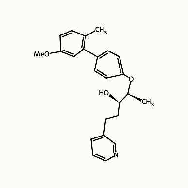 COc1ccc(C)c(-c2ccc(O[C@@H](C)[C@H](O)CCc3cccnc3)cc2)c1